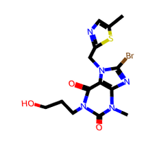 Cc1cnc(Cn2c(Br)nc3c2c(=O)n(CCCO)c(=O)n3C)s1